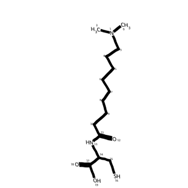 CN(C)CCCCCCCCC(=O)NC(CS)C(=O)O